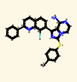 Bc1ccc(Sc2nc(-c3ccc4ccc(-c5ccccc5)nc4c3F)c3c(N)nccn23)cc1